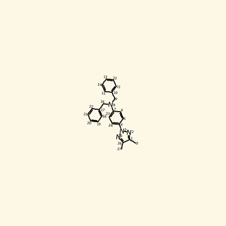 Cc1nn(-c2ccc(N(Cc3ccccc3)Cc3ccccc3)cc2)nc1C